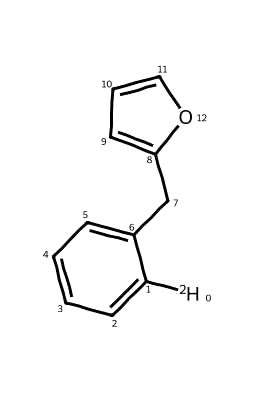 [2H]c1ccccc1Cc1ccco1